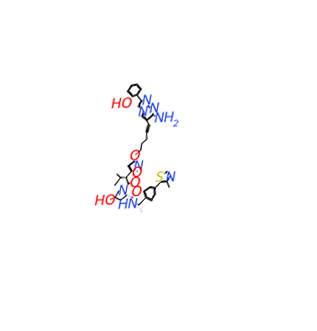 Cc1ncsc1-c1ccc([C@H](C)NC(=O)[C@@H]2C[C@@H](O)CN2C(=O)[C@H](c2cc(OCCCC#Cc3cn4cc(-c5ccccc5O)nc4nc3N)no2)C(C)C)cc1